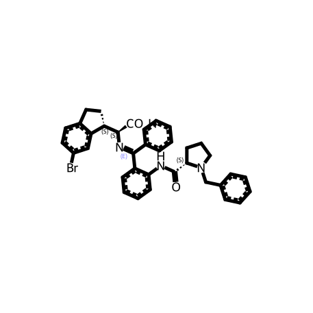 O=C(O)[C@@H](/N=C(\c1ccccc1)c1ccccc1NC(=O)[C@@H]1CCCN1Cc1ccccc1)[C@H]1CCc2ccc(Br)cc21